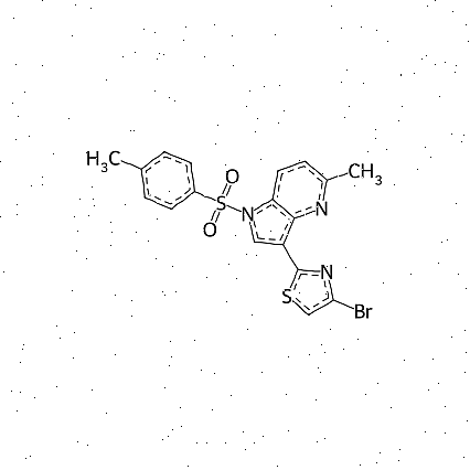 Cc1ccc(S(=O)(=O)n2cc(-c3nc(Br)cs3)c3nc(C)ccc32)cc1